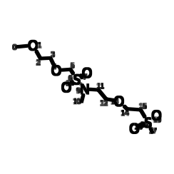 COCCOCS(=O)(=O)N(C)CCOCCS(C)(=O)=O